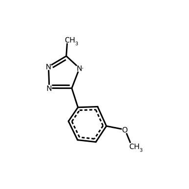 COc1cccc(C2=NN=C(C)[N]2)c1